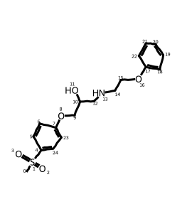 CS(=O)(=O)c1ccc(OCC(O)CNCCOc2ccccc2)cc1